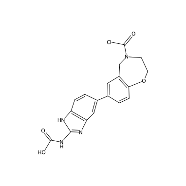 O=C(O)Nc1nc2cc(-c3ccc4c(c3)CN(C(=O)Cl)CCO4)ccc2[nH]1